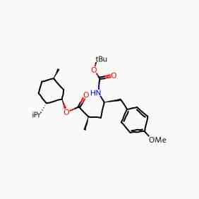 COc1ccc(C[C@@H](C[C@@H](C)C(=O)O[C@@H]2C[C@H](C)CC[C@H]2C(C)C)NC(=O)OC(C)(C)C)cc1